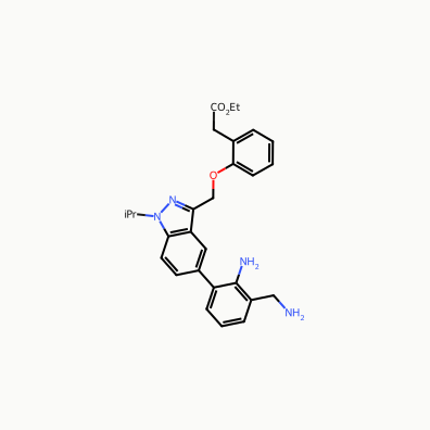 CCOC(=O)Cc1ccccc1OCc1nn(C(C)C)c2ccc(-c3cccc(CN)c3N)cc12